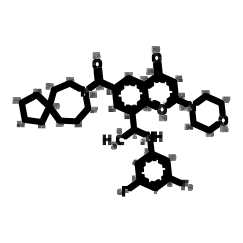 CC(Nc1cc(F)cc(F)c1)c1cc(C(=O)N2CCCC3(CCCC3)CC2)cc2c(=O)cc(N3CCOCC3)oc12